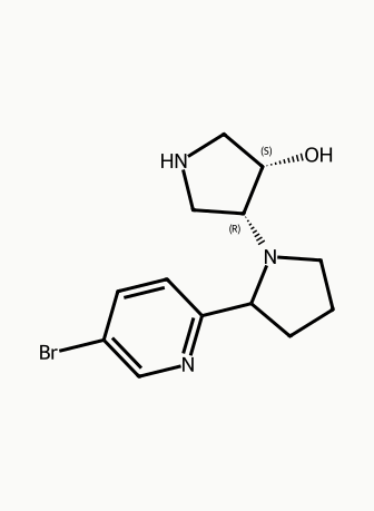 O[C@H]1CNC[C@H]1N1CCCC1c1ccc(Br)cn1